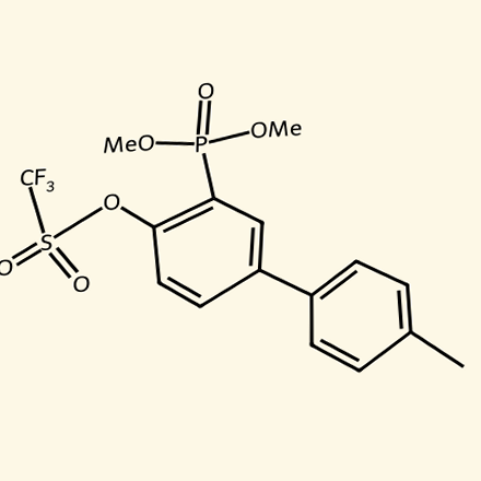 COP(=O)(OC)c1cc(-c2ccc(C)cc2)ccc1OS(=O)(=O)C(F)(F)F